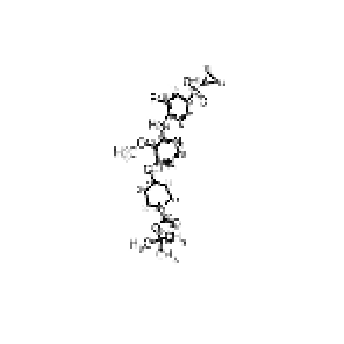 COc1c(Nc2ccc(S(=O)(=O)C3CC3)cc2F)ncnc1OC1CCN(C(=O)OC(C)(C)C)CC1